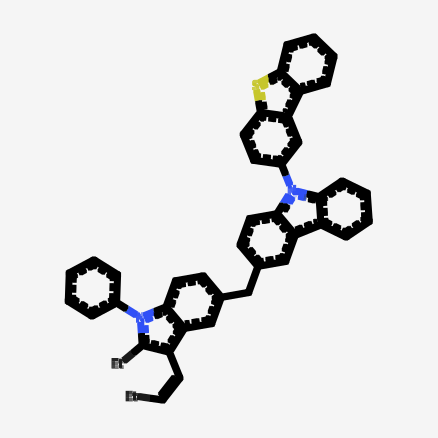 CC/C=C\c1c(CC)n(-c2ccccc2)c2ccc(Cc3ccc4c(c3)c3ccccc3n4-c3ccc4sc5ccccc5c4c3)cc12